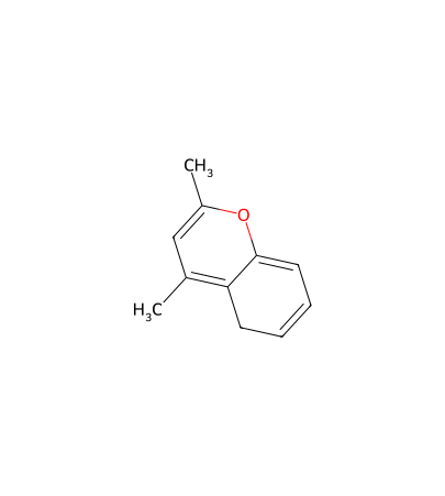 CC1=CC(C)=C2CC=CC=C2O1